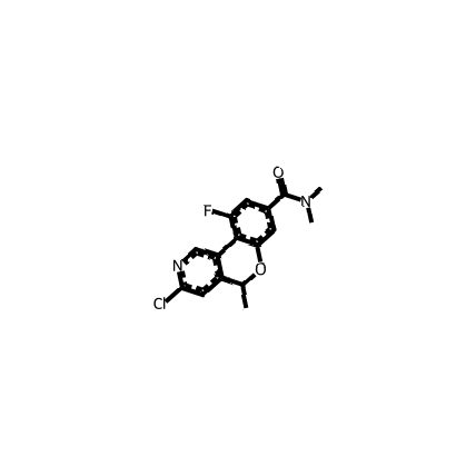 CC1Oc2cc(C(=O)N(C)C)cc(F)c2-c2cnc(Cl)cc21